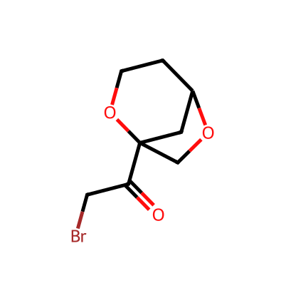 O=C(CBr)C12COC(CCO1)C2